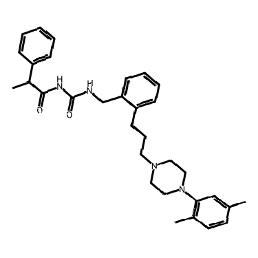 Cc1ccc(C)c(N2CCN(CCCc3ccccc3CNC(=O)NC(=O)C(C)c3ccccc3)CC2)c1